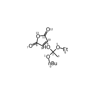 CCCCOC(C)(O)OCC.O=C1C=CC(=O)O1